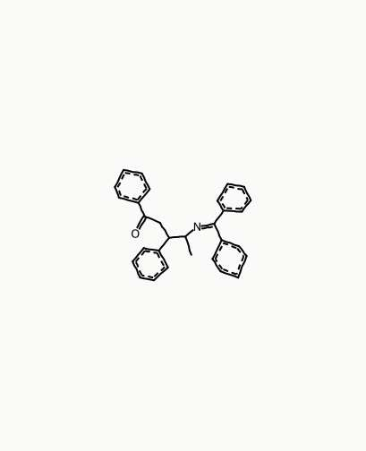 CC(N=C(c1ccccc1)c1ccccc1)C(CC(=O)c1ccccc1)c1ccccc1